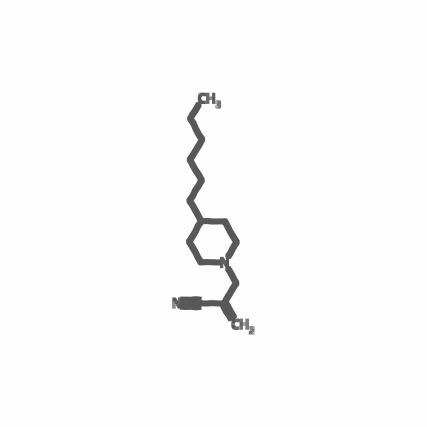 C=C(C#N)CN1CCC(CCCCCC)CC1